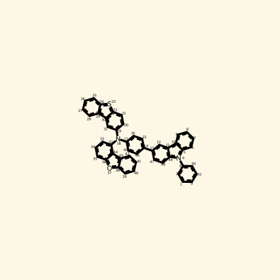 c1ccc(-n2c3ccccc3c3cc(-c4ccc(N(c5ccc6sc7ccccc7c6c5)c5cccc6oc7ccccc7c56)cc4)ccc32)cc1